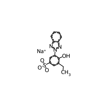 CCc1cc(S(=O)(=O)[O-])cc(-n2nc3ccccc3n2)c1O.[Na+]